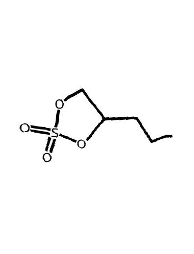 CCCC1COS(=O)(=O)O1